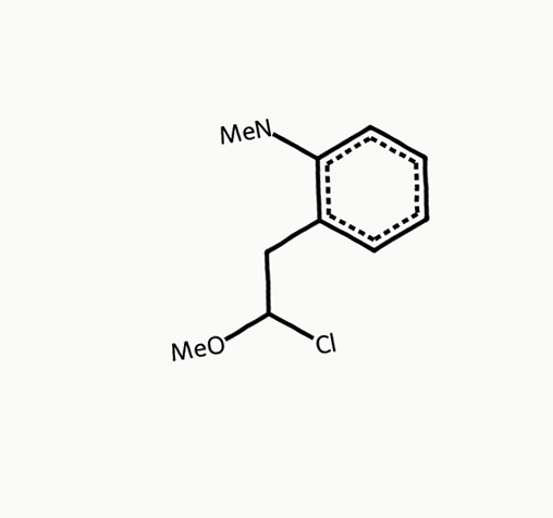 CNc1ccccc1CC(Cl)OC